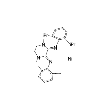 Cc1cccc(C)c1N=C1C(=Nc2c(C(C)C)cccc2C(C)C)N(C)CCN1C.[Ni]